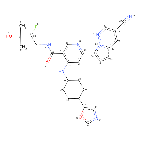 CC(C)(O)[C@H](F)CNC(=O)c1cnc(-c2ccc3cc(C#N)cnn23)cc1NC1CCC(c2cnco2)CC1